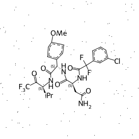 COc1ccc([C@H](NC(=O)[C@H](CC(N)=O)NC(=O)C(F)(F)c2cccc(Cl)c2)C(=O)N[C@H](C(=O)C(F)(F)F)C(C)C)cc1